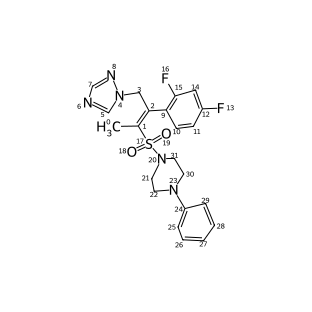 CC(=C(Cn1cncn1)c1ccc(F)cc1F)S(=O)(=O)N1CCN(c2ccccc2)CC1